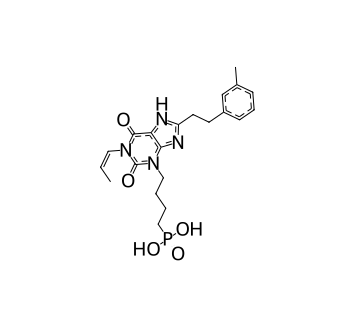 C/C=C\n1c(=O)c2[nH]c(CCc3cccc(C)c3)nc2n(CCCCP(=O)(O)O)c1=O